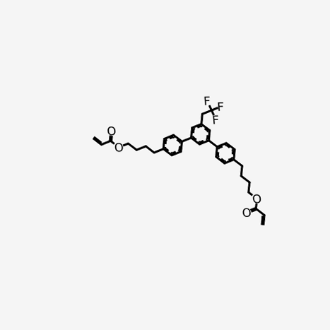 C=CC(=O)OCCCCc1ccc(-c2cc(CC(F)(F)F)cc(-c3ccc(CCCCOC(=O)C=C)cc3)c2)cc1